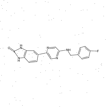 O=c1[nH]c2ccc(-c3cnc(NCc4ccc(F)cc4)cn3)cc2[nH]1